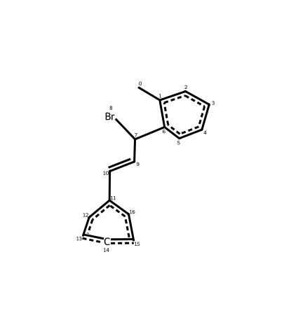 Cc1ccccc1C(Br)C=Cc1ccccc1